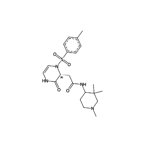 Cc1ccc(S(=O)(=O)N2C=CNC(=O)[C@H]2CC(=O)NC2CCN(C)CC2(C)C)cc1